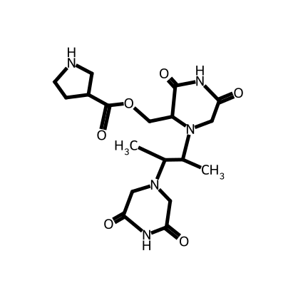 CC(C(C)N1CC(=O)NC(=O)C1COC(=O)C1CCNC1)N1CC(=O)NC(=O)C1